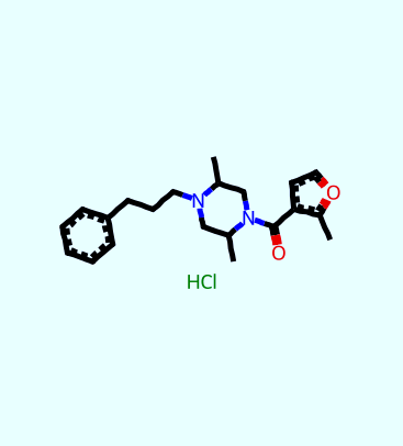 Cc1occc1C(=O)N1CC(C)N(CCCc2ccccc2)CC1C.Cl